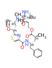 C=CCOC(=O)[C@@H](C)C[C@H](Cc1ccccc1)NC(=O)c1csc([C@@H](C[C@H](C(C)C)N(C)C(=O)[C@@H](N)[C@@H](C)CC)OCC)n1